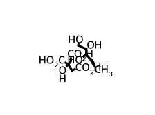 CC=CC(O)C(O)CO.O=C(O)CC(O)(CC(=O)O)C(=O)O